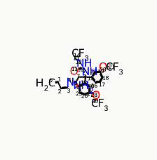 C=C/C=C\N=C(/N)CC(NC(=O)NCC(F)(F)F)(c1cccc(OC(F)(F)F)c1)c1cccc(OC(F)(F)F)c1